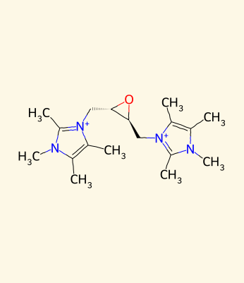 Cc1c(C)[n+](C[C@@H]2O[C@H]2C[n+]2c(C)c(C)n(C)c2C)c(C)n1C